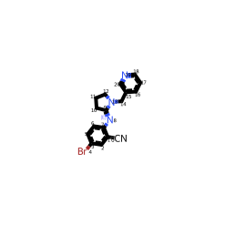 N#Cc1cc(Br)ccc1/N=C1\CCCN1Cc1cccnc1